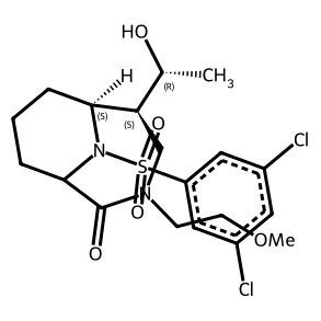 COCCN1C[C@H]([C@@H](C)O)[C@@H]2CCCC(C1=O)N2S(=O)(=O)c1cc(Cl)cc(Cl)c1